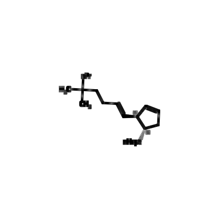 CCCCCCC[C@H]1CC=C[C@@H]1C=CCCC(C)(C)CCC